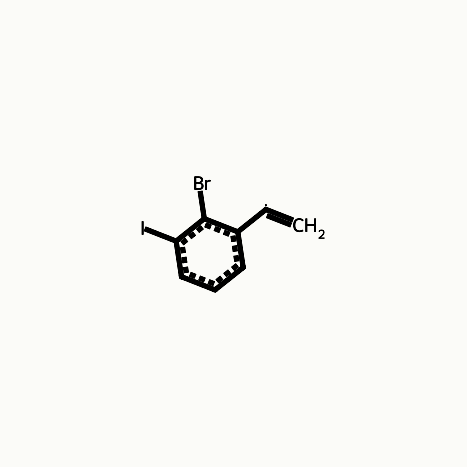 C=[C]c1cccc(I)c1Br